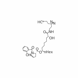 C#CCCC1(CCNC(=O)[C@H](O)CCCCC[C@@H](CCCCCC)OC(=O)[C@@H]2CC=CN2C(=O)c2ccccc2O)N=N1